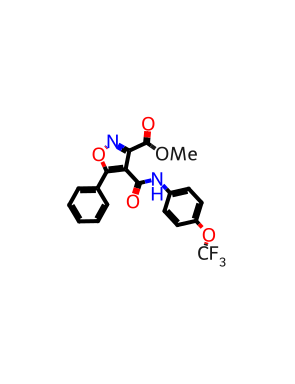 COC(=O)c1noc(-c2ccccc2)c1C(=O)Nc1ccc(OC(F)(F)F)cc1